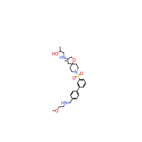 COCCNCc1ccc(-c2cccc(S(=O)(=O)N3CCC4(CC3)C[C@@H](NCC(C)O)CO4)c2)cc1